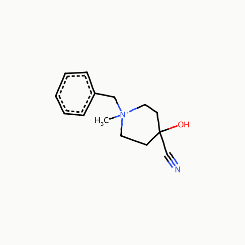 C[N+]1(Cc2ccccc2)CCC(O)(C#N)CC1